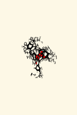 COc1ccc2[nH]c3c(c2c1)CCN[C@]31CS[C@@H]2c3c(OC(C)=O)c(C)c4c(c3[C@H](COC1=O)N1[C@@H]2[C@@H]2c3c(cc(C)c(OC)c3O)C[C@H]([C@@H]1O)N2C)OCO4